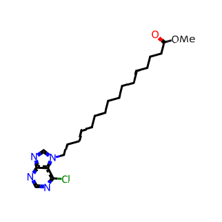 COC(=O)CCCCCCCCCCCCCCCn1cnc2ncnc(Cl)c21